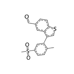 Cc1ccc(S(C)(=O)=O)cc1-c1csc2ccc(C=O)cc12